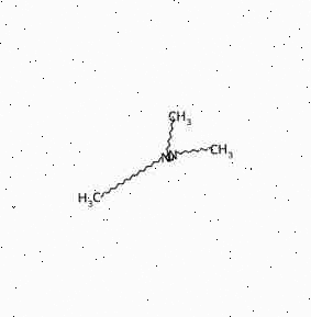 CCCCCCCCCCCCCCCCCCCN1C=CN(CCCCCCCCCC)C1CCCCCCCCC